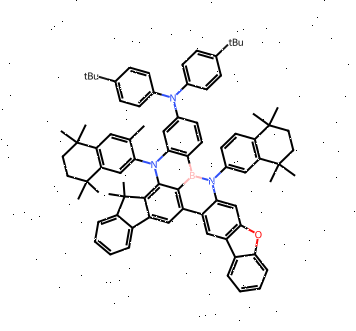 Cc1cc2c(cc1N1c3cc(N(c4ccc(C(C)(C)C)cc4)c4ccc(C(C)(C)C)cc4)ccc3B3c4c(cc5c(c41)C(C)(C)c1ccccc1-5)-c1cc4c(cc1N3c1ccc3c(c1)C(C)(C)CCC3(C)C)oc1ccccc14)C(C)(C)CCC2(C)C